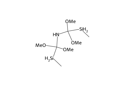 COC(NC(OC)(OC)[SiH2]C)(OC)[SiH2]C